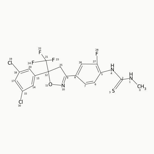 CNC(=S)Nc1ccc(C2=NOC(c3cc(Cl)cc(Cl)c3)(C(F)(F)F)C2)cc1F